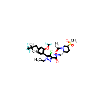 CCn1nc(C(=O)NC[C@H]2CCC(S(C)(=O)=O)CN2C(C)=O)c(Cl)c1-c1ccc(CC(C)(C)C(F)(F)F)cc1OC(F)F